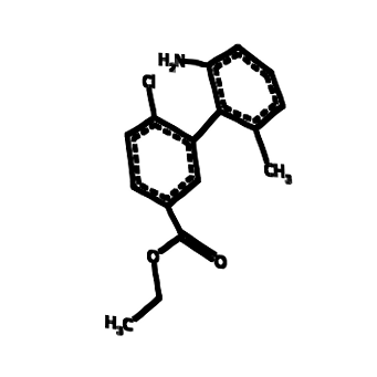 CCOC(=O)c1ccc(Cl)c(-c2c(C)cccc2N)c1